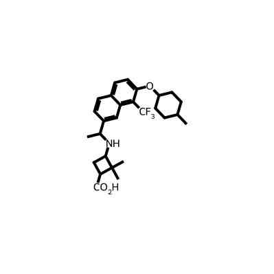 CC1CCC(Oc2ccc3ccc(C(C)NC4CC(C(=O)O)C4(C)C)cc3c2C(F)(F)F)CC1